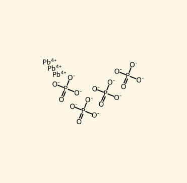 O=P([O-])([O-])[O-].O=P([O-])([O-])[O-].O=P([O-])([O-])[O-].O=P([O-])([O-])[O-].[Pb+4].[Pb+4].[Pb+4]